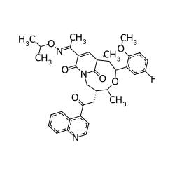 COc1ccc(F)cc1C1C[C@]2(C)C=C(/C(C)=N/OC(C)C)C(=O)N(C[C@@H](CC(=O)c3ccnc4ccccc34)C(C)O1)C2=O